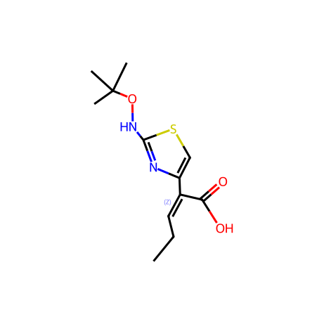 CC/C=C(\C(=O)O)c1csc(NOC(C)(C)C)n1